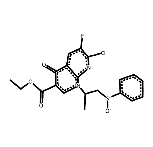 CCOC(=O)c1cn(C(C)C[S+]([O-])c2ccccc2)c2nc(Cl)c(F)cc2c1=O